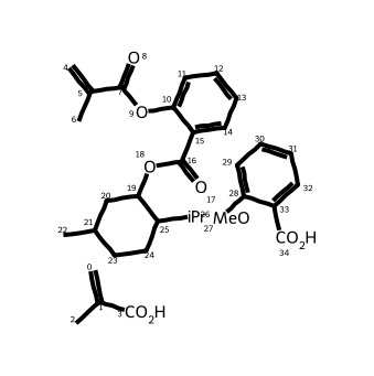 C=C(C)C(=O)O.C=C(C)C(=O)Oc1ccccc1C(=O)OC1CC(C)CCC1C(C)C.COc1ccccc1C(=O)O